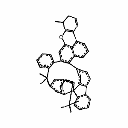 CC1CC=CC2=C1Oc1cc3c(c4cccc2c14)-c1ccc2c(c1)C1(c4ccccc4-2)c2cc(C(C)(C)C)ccc2-c2ccc(cc21)C(C)(C)c1ccccc1-3